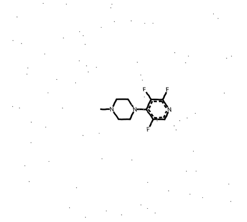 CN1CCN(c2c(F)cnc(F)c2F)CC1